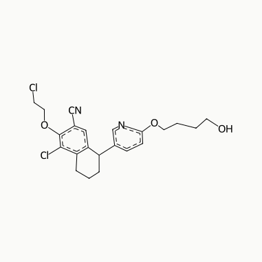 N#Cc1cc2c(c(Cl)c1OCCCl)CCCC2c1ccc(OCCCCO)nc1